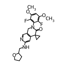 COc1cc(OC)c(F)c(N2Cc3cnc(NCC4CCCO4)cc3C3(CC3)C2=O)c1F